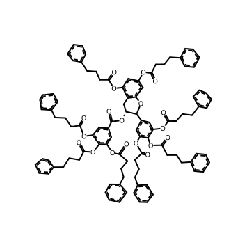 O=C(CCCc1ccccc1)Oc1cc(OC(=O)CCCc2ccccc2)c2c(c1)OC(c1cc(OC(=O)CCCc3ccccc3)c(OC(=O)CCCc3ccccc3)c(OC(=O)CCCc3ccccc3)c1)[C@H](OC(=O)c1cc(OC(=O)CCCc3ccccc3)c(OC(=O)CCCc3ccccc3)c(OC(=O)CCCc3ccccc3)c1)C2